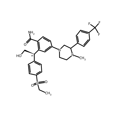 CCS(=O)(=O)c1ccc([C@@H](CO)c2cc(N3CCN(C)C(c4ccc(C(F)(F)F)cc4)C3)ccc2C(N)=O)cc1